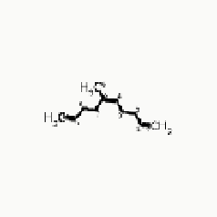 C=CCCC=C(C)CCC=C